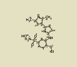 CCOc1ccc(S(N)(=O)=O)cc1Nc1nc(-c2sc(C)nc2C)cs1.Cl